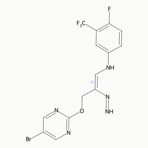 N=N/C(=C\Nc1ccc(F)c(C(F)(F)F)c1)COc1ncc(Br)cn1